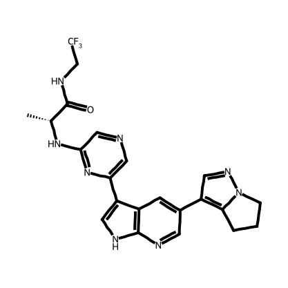 C[C@@H](Nc1cncc(-c2c[nH]c3ncc(-c4cnn5c4CCC5)cc23)n1)C(=O)NCC(F)(F)F